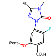 CCC[C@H](C)Oc1cc(-n2nc(CC)n(C)c2=O)c(F)cc1C(=O)O